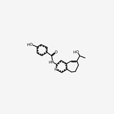 CC(O)C1=Cc2cc(NC(=O)c3ccc(O)cc3)ncc2CCC1